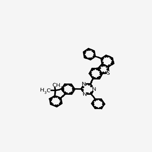 CC1(C)c2ccccc2-c2cc(-c3nc(-c4ccccc4)nc(-c4ccc5c(c4)sc4cccc(-c6ccccc6)c45)n3)ccc21